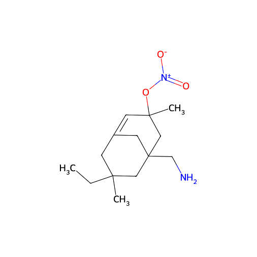 CCC1(C)CC2=CC(C)(O[N+](=O)[O-])CC(CN)(C2)C1